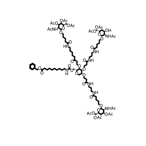 CC(=O)N[C@H]1[C@H](OCCCCC(=O)NCCCNC(=O)CCO[C@H]2[C@H](OCCC(=O)CCCCCNC(=O)CCCCO[C@@H]3O[C@H](COC(C)=O)[C@H](OC(C)=O)[C@H](OC(C)=O)[C@H]3NC(C)=O)[C@@H](COC(=O)NCCCCCCCCCC(=O)OCc3ccccc3)OC[C@@H]2OCCC(=O)NCCCNC(=O)CCCCO[C@@H]2O[C@H](COC(C)=O)[C@H](OC(C)=O)[C@H](OC(C)=O)[C@H]2NC(C)=O)O[C@H](COC(C)=O)[C@H](OC(C)=O)[C@@H]1O